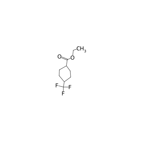 CCOC(=O)C1CCC(C(F)(F)F)CC1